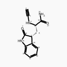 C#CN[C@@H](C[C@H]1C(=O)Nc2ccccc21)C(N)=O